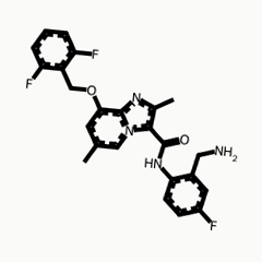 Cc1cc(OCc2c(F)cccc2F)c2nc(C)c(C(=O)Nc3ccc(F)cc3CN)n2c1